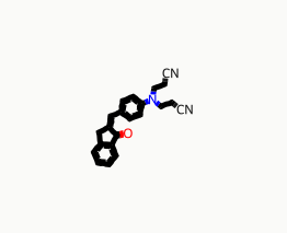 N#CCCN(CCC#N)c1ccc(C=C2Cc3ccccc3C2=O)cc1